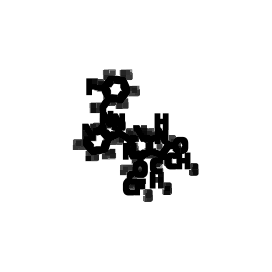 CC1(C)C(=O)Nc2nc(-c3nn(Cc4ccccc4F)c4ncccc34)nc(OCC(F)(F)F)c21